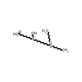 CCCCCCCOC(CCCCCCCCCN(CCO)CCCCCCCC(=O)O)OCCCCCCC